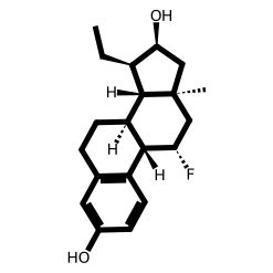 CC[C@@H]1[C@H]2[C@@H]3CCc4cc(O)ccc4[C@H]3[C@@H](F)C[C@]2(C)C[C@@H]1O